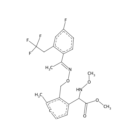 CONC(C(=O)OC)c1cccc(C)c1CO/N=C(\C)c1ccc(F)cc1CC(F)(F)F